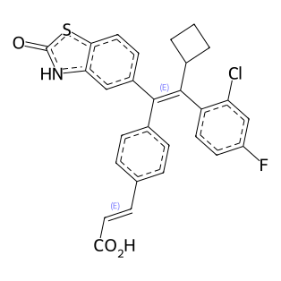 O=C(O)/C=C/c1ccc(/C(=C(\c2ccc(F)cc2Cl)C2CCC2)c2ccc3sc(=O)[nH]c3c2)cc1